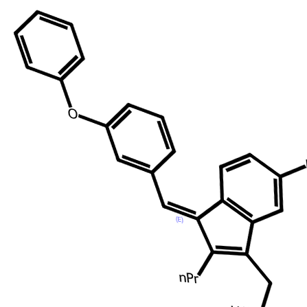 CCCC1=C(CC(=O)O)c2cc(F)ccc2/C1=C\c1cccc(Oc2ccccc2)c1